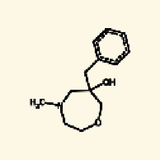 CN1CCOCC(O)(Cc2ccccc2)C1